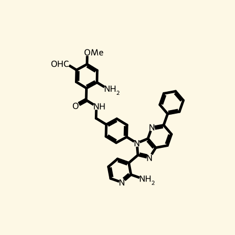 COc1cc(N)c(C(=O)NCc2ccc(-n3c(-c4cccnc4N)nc4ccc(-c5ccccc5)nc43)cc2)cc1C=O